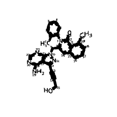 Cc1ccccc1-n1c(Cn2nc(C#CCO)c3c(N)ncnc32)cc2cccc(C)c2c1=O